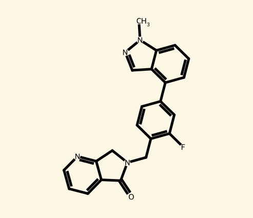 Cn1ncc2c(-c3ccc(CN4Cc5ncccc5C4=O)c(F)c3)cccc21